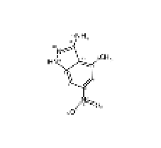 Cc1cc([N+](=O)[O-])cc2[nH]nc(N)c12